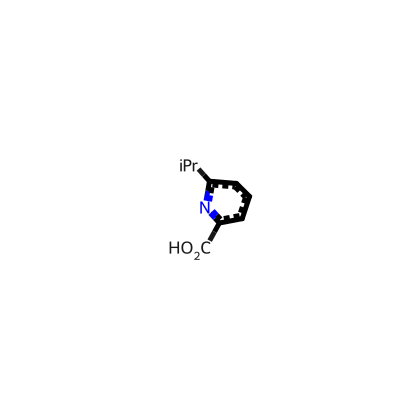 CC(C)c1cccc(C(=O)O)n1